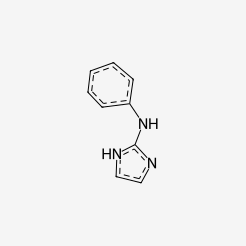 c1ccc(Nc2ncc[nH]2)cc1